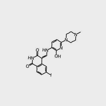 CN1CCN(c2ccc(N/C=C3\C(=O)NC(=O)c4ccc(I)cc43)c(O)n2)CC1